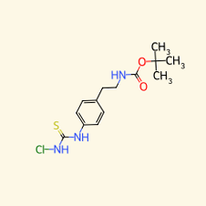 CC(C)(C)OC(=O)NCCc1ccc(NC(=S)NCl)cc1